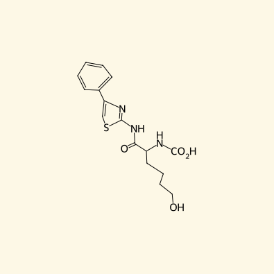 O=C(O)NC(CCCCO)C(=O)Nc1nc(-c2ccccc2)cs1